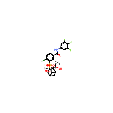 C[C@@H](O)[C@H](O)[C@]1(O)C2CC1C[C@@H](S(=O)(=O)c1cc(C(=O)Nc3cc(F)c(F)c(F)c3)ccc1Cl)C2